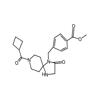 COC(=O)c1ccc(CN2C(=O)CNC23CCN(C(=O)C2CCC2)CC3)cc1